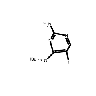 CC[C@@H](C)Oc1nc(N)ncc1I